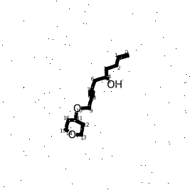 C=CCCC(O)CC#CCOC1CCOCC1